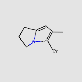 Cc1cc2n(c1C(C)C)CCC2